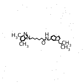 Cc1cc(C)c2ncn(CCCCCCC(=O)NCc3ccc4c(c3)C(CC(C)C)C=C4)c2c1